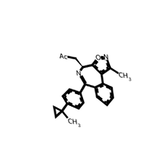 CC(=O)C[C@@H]1N=C(c2ccc(C3(C)CC3)cc2)c2ccccc2-c2c(C)noc21